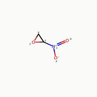 O=[N+]([O-])C1CO1